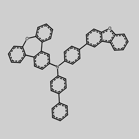 c1ccc(-c2ccc(N(c3ccc(-c4ccc5oc6ccccc6c5c4)cc3)c3ccc4c(c3)-c3ccccc3Oc3ccccc3-4)cc2)cc1